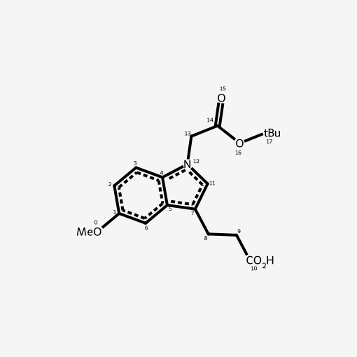 COc1ccc2c(c1)c(CCC(=O)O)cn2CC(=O)OC(C)(C)C